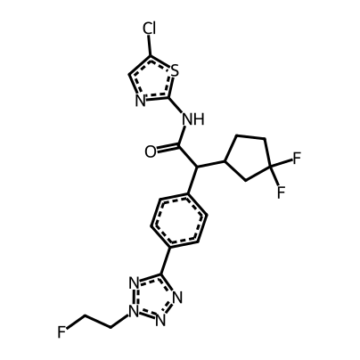 O=C(Nc1ncc(Cl)s1)C(c1ccc(-c2nnn(CCF)n2)cc1)C1CCC(F)(F)C1